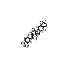 c1cc2c(cc1C1OC[C@H]3[C@@H](c4ccc5c(c4)OCO5)OC[C@@H]13)OCO2